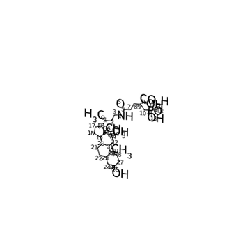 CC(CCNC(=O)CCC(CP(=O)(O)O)C(=O)O)[C@H]1CCC2C3CCC4C[C@H](O)CC[C@]4(C)C3C[C@H](O)[C@@]21C